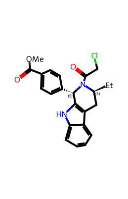 CC[C@H]1Cc2c([nH]c3ccccc23)[C@H](c2ccc(C(=O)OC)cc2)N1C(=O)CCl